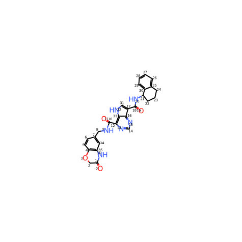 O=C1COc2ccc(CNC(=O)c3ncnc4c(C(=O)N[C@@H]5CCCc6ccccc65)c[nH]c34)cc2N1